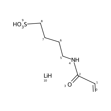 C=CC(=O)NCCCCS(=O)(=O)O.[LiH]